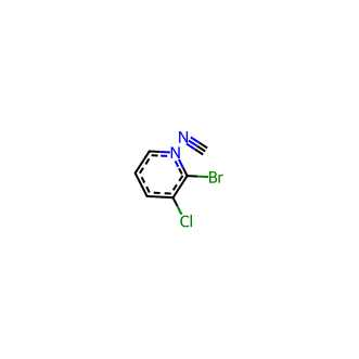 C#N.Clc1cccnc1Br